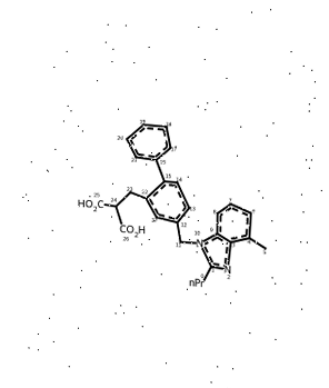 CCCc1nc2c(C)cccc2n1Cc1ccc(-c2ccccc2)c(CC(C(=O)O)C(=O)O)c1